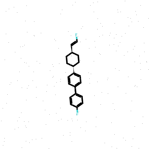 FC=C[C@H]1CC[C@H](c2ccc(-c3ccc(F)cc3)cc2)CC1